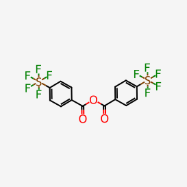 O=C(OC(=O)c1ccc(S(F)(F)(F)(F)F)cc1)c1ccc(S(F)(F)(F)(F)F)cc1